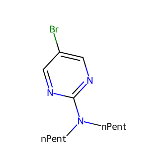 CCCCCN(CCCCC)c1ncc(Br)cn1